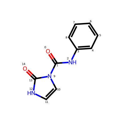 O=C(Nc1ccccc1)n1cc[nH]c1=O